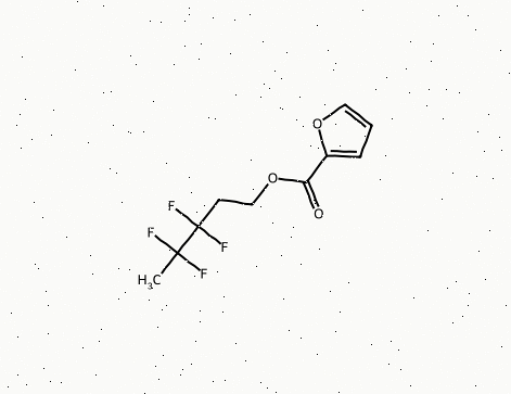 CC(F)(F)C(F)(F)CCOC(=O)c1ccco1